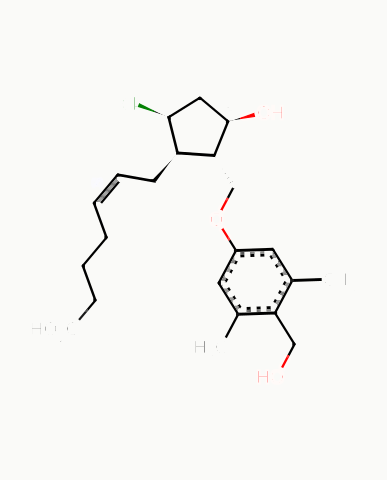 Cc1cc(OC[C@@H]2[C@@H](C/C=C\CCCC(=O)O)[C@@H](Cl)C[C@H]2O)cc(C)c1CO